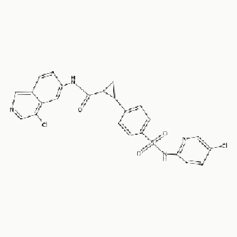 O=C(Nc1ccc2cncc(Cl)c2c1)C1CC1c1ccc(S(=O)(=O)Nc2ccc(Cl)cn2)cc1